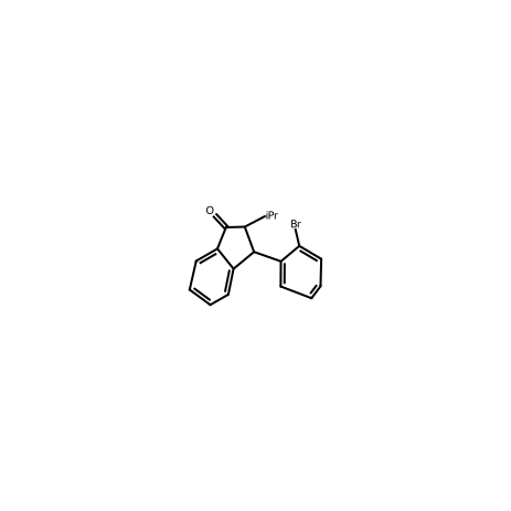 CC(C)C1C(=O)c2ccccc2C1c1ccccc1Br